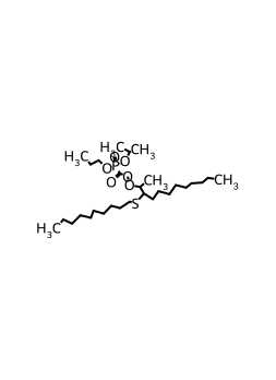 CCCCCCCCCCSC(CCCCCCCCC)C(C)OOC(=O)P(=O)(OCCC)OC(C)C